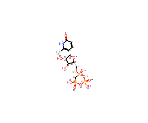 Cc1[nH]c(=O)ccc1[C@@H]1O[C@H](COP2(=O)CP(=O)(O)OP(=O)(O)O2)C(O)[C@@H]1O